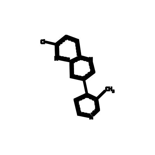 Cc1cnccc1-c1cnc2ccc(Cl)nc2c1